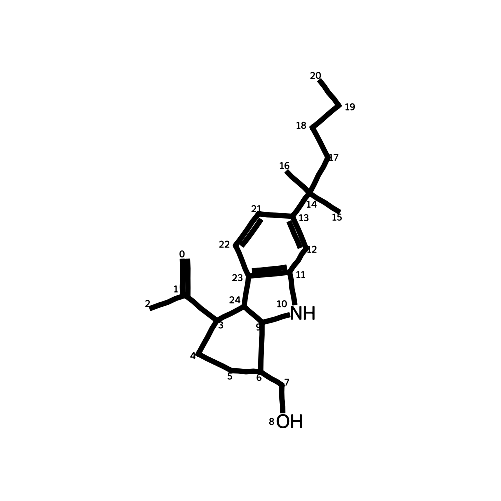 C=C(C)C1CCC(CO)C2Nc3cc(C(C)(C)CCCC)ccc3C12